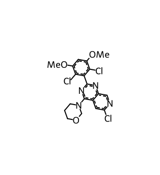 COc1cc(OC)c(Cl)c(-c2nc(N3CCCOC3)c3cc(Cl)ncc3n2)c1Cl